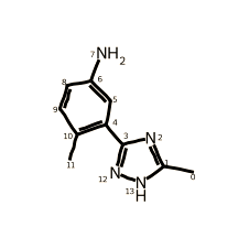 Cc1nc(-c2cc(N)ccc2C)n[nH]1